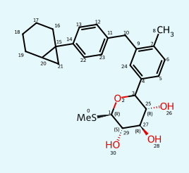 CS[C@H]1OC(c2ccc(C)c(Cc3ccc(C45CCCCC4C5)cc3)c2)[C@H](O)[C@@H](O)[C@@H]1O